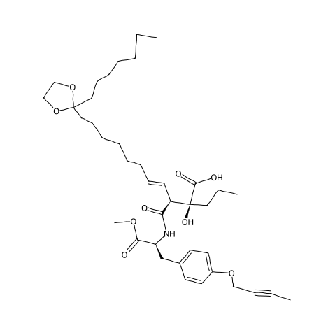 CC#CCOc1ccc(C[C@H](NC(=O)[C@@H](/C=C/CCCCCCC2(CCCCCCC)OCCO2)[C@@](O)(CCC)C(=O)O)C(=O)OC)cc1